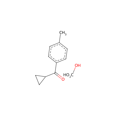 Cc1ccc(C(=O)C2CC2)cc1.O=C(O)O